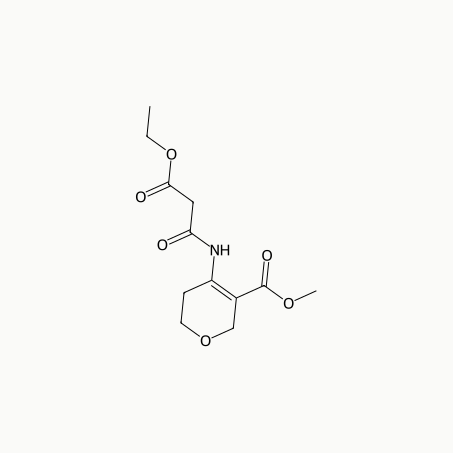 CCOC(=O)CC(=O)NC1=C(C(=O)OC)COCC1